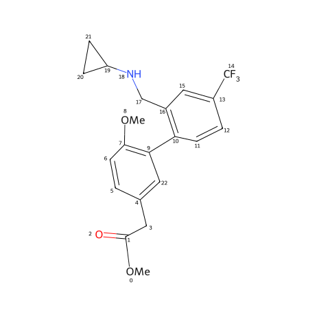 COC(=O)Cc1ccc(OC)c(-c2ccc(C(F)(F)F)cc2CNC2CC2)c1